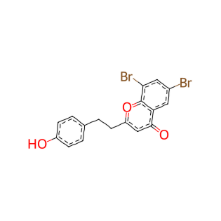 O=c1cc(CCc2ccc(O)cc2)oc2c(Br)cc(Br)cc12